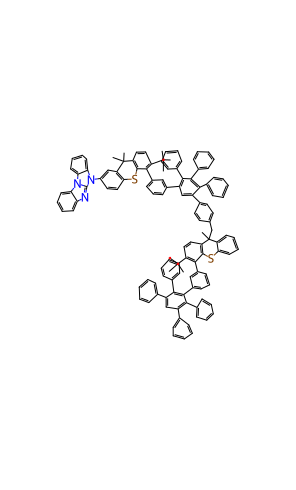 CC(C)(C)c1ccc2c(c1-c1cccc(-c3cc(-c4ccc(CC5(C)c6ccccc6Sc6c5ccc(C(C)(C)C)c6-c5cccc(-c6c(-c7ccccc7)c(-c7ccccc7)cc(-c7ccccc7)c6-c6ccccc6)c5)cc4)c(-c4ccccc4)c(-c4ccccc4)c3-c3ccccc3)c1)Sc1ccc(-n3c4ccccc4n4c5ccccc5nc34)cc1C2(C)C